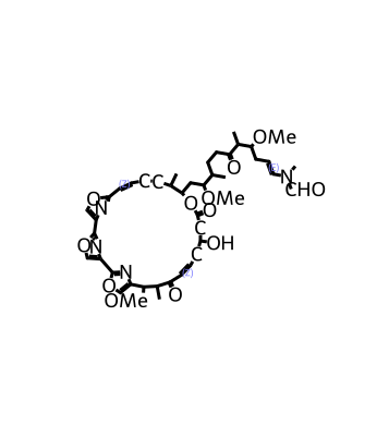 COC(CC1OC(=O)CC(O)C/C=C\C(=O)C(C)C(OC)c2coc(n2)-c2coc(n2)-c2coc(n2)/C=C\CCC1C)C(C)CCC(=O)C(C)C(C/C=C/N(C)C=O)OC